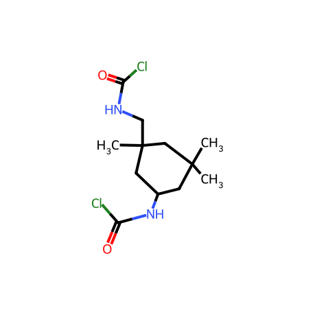 CC1(C)CC(NC(=O)Cl)CC(C)(CNC(=O)Cl)C1